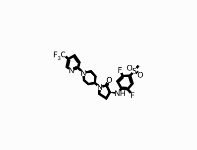 CS(=O)(=O)c1cc(F)c(N[C@H]2CCN(C3CCN(c4ccc(C(F)(F)F)cn4)CC3)C2=O)cc1F